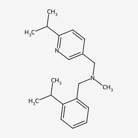 CC(C)c1ccc(CN(C)Cc2ccccc2C(C)C)cn1